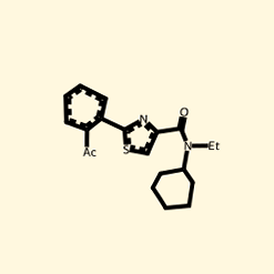 CCN(C(=O)c1csc(-c2ccccc2C(C)=O)n1)C1CCCCC1